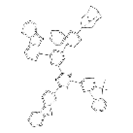 CC1(C)c2ccccc2-c2cc(-c3nc(-c4cc(-c5ccc(C67CC8CC(CC(C8)C6)C7)cc5)cc(-c5cccc6c7ccccc7n(-c7ccccc7)c56)c4)nc(-c4ccc5c(c4)sc4ccccc45)n3)ccc21